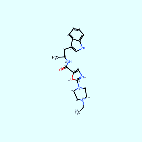 CC(Cc1c[nH]c2ccccc12)NC(=O)c1cnc(N2CCN(CC(F)(F)F)CC2)o1